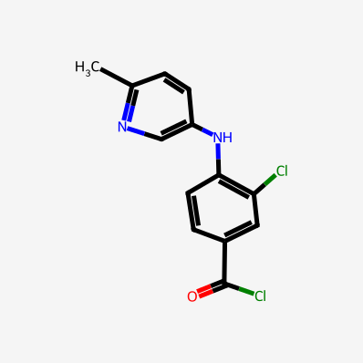 Cc1ccc(Nc2ccc(C(=O)Cl)cc2Cl)cn1